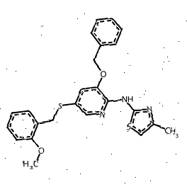 COc1ccccc1CSc1cnc(Nc2nc(C)cs2)c(OCc2ccccc2)c1